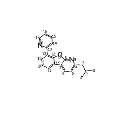 CC(C)Cc1ccc2c(n1)oc1c(-c3ccccn3)cccc12